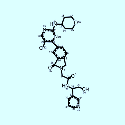 O=C(CN1Cc2ccc(-c3nc(NC4CCOCC4)ncc3Cl)cc2C1=O)NC(CO)c1cccnc1